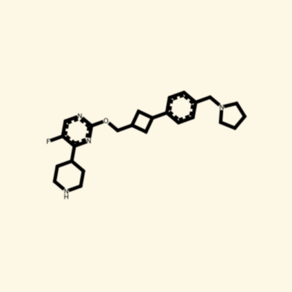 Fc1cnc(OCC2CC(c3ccc(CN4CCCC4)cc3)C2)nc1C1CCNCC1